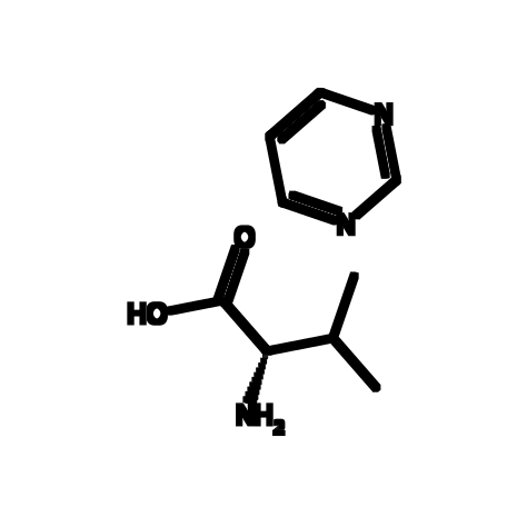 CC(C)[C@H](N)C(=O)O.c1cncnc1